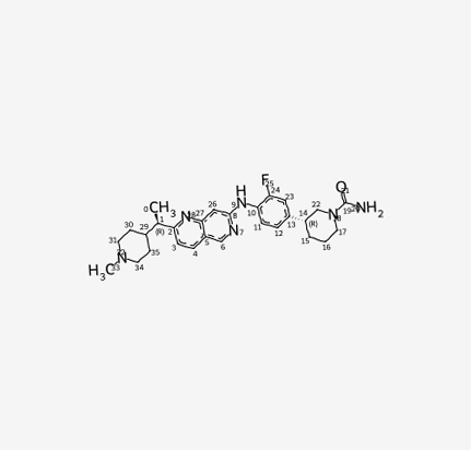 C[C@@H](c1ccc2cnc(Nc3ccc([C@H]4CCCN(C(N)=O)C4)cc3F)cc2n1)C1CCN(C)CC1